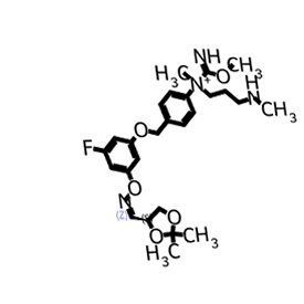 CNCCC[N+](C)(C(=N)OC)c1ccc(COc2cc(F)cc(O/N=C\[C@H]3COC(C)(C)O3)c2)cc1